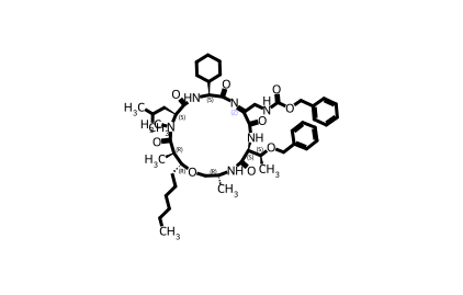 CCCCCC[C@H]1OC[C@@H](C)NC(=O)[C@H]([C@H](C)OCc2ccccc2)NC(=O)/C(CNC(=O)OCc2ccccc2)=N\C(=O)[C@H](C2CCCCC2)NC(=O)[C@H](CC(C)C)N(C)C(=O)[C@@H]1C